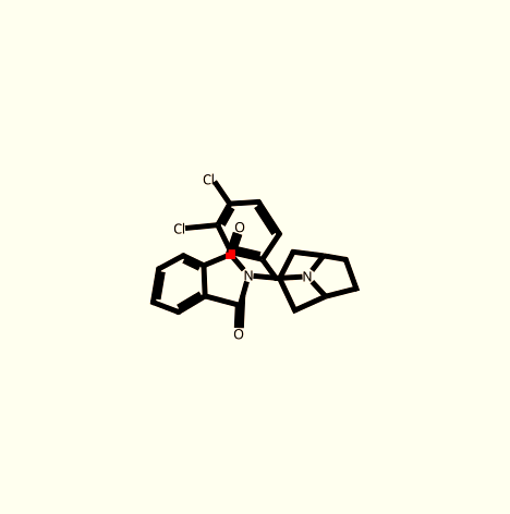 O=C1c2ccccc2C(=O)N1C1CC2CCC(C1)N2Cc1ccc(Cl)c(Cl)c1